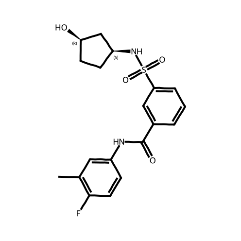 Cc1cc(NC(=O)c2cccc(S(=O)(=O)N[C@H]3CC[C@@H](O)C3)c2)ccc1F